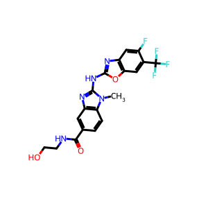 Cn1c(Nc2nc3cc(F)c(C(F)(F)F)cc3o2)nc2cc(C(=O)NCCO)ccc21